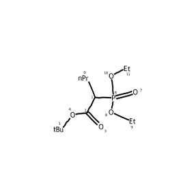 CCCC(C(=O)OC(C)(C)C)P(=O)(OCC)OCC